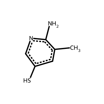 Cc1cc(S)cnc1N